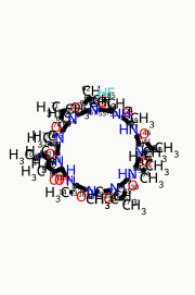 C/C=C/C[C@@H](C)[C@@H](O)[C@H]1C(=O)N[C@@H](CC)C(=O)N(C)CC(=O)N(C)[C@@H](CC(C)C)C(=O)N[C@@H](C(C)C)C(=O)N(C)[C@@H](CC(C)C)C(=O)N[C@@H](C)C(=O)N[C@H](C)C(=O)N(C)[C@@H](CC(C)C)C(=O)N(C)[C@@H](CC(C)C)C(=O)N(C)[C@@H](C(C)C)C(=O)N1C.F